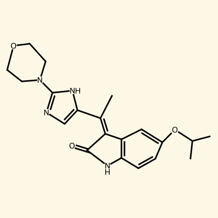 C/C(=C1/C(=O)Nc2ccc(OC(C)C)cc21)c1cnc(N2CCOCC2)[nH]1